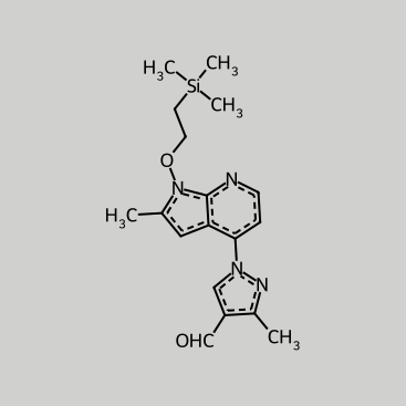 Cc1nn(-c2ccnc3c2cc(C)n3OCC[Si](C)(C)C)cc1C=O